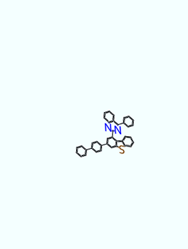 c1ccc(-c2ccc(-c3cc(-c4nc(-c5ccccc5)c5ccccc5n4)c4c(c3)sc3ccccc34)cc2)cc1